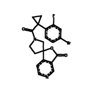 O=C1OC2(CCN(C(=O)C3(c4ccc(Br)cc4F)CC3)C2)c2ccncc21